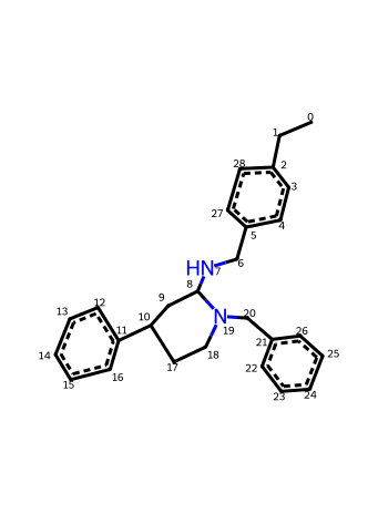 CCc1ccc(CNC2CC(c3ccccc3)CCN2Cc2ccccc2)cc1